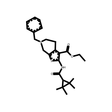 CCOC(=O)c1c(NC(=O)C2C(C)(C)C2(C)C)sc2c1CCN(Cc1ccccc1)C2